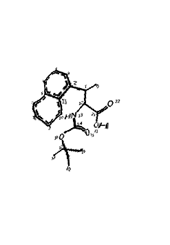 CC(c1cccc2ccccc12)C(NC(=O)OC(C)(C)C)C(=O)O